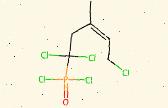 CC(=CCCl)CC(Cl)(Cl)P(=O)(Cl)Cl